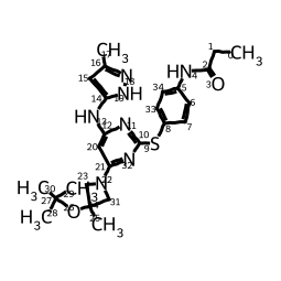 CCC(=O)Nc1ccc(Sc2nc(Nc3cc(C)n[nH]3)cc(N3CC(C)(OC(C)(C)C)C3)n2)cc1